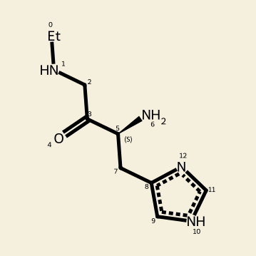 CCNCC(=O)[C@@H](N)Cc1c[nH]cn1